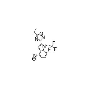 CCc1nc(-c2cc3c(N=O)cccc3n2CC(F)(F)F)no1